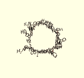 CCCC[C@H]1C(=O)N(C)[C@@H](CCCC)C(=O)N[C@@H](CCC(=O)O)C(=O)N[C@H](C(=O)NCC(N)=O)CSCC(=O)NC(Cc2ccc(O)cc2)C(=O)N(C)[C@@H](C)C(=O)N[C@@H](CC(N)=O)C(=O)N2CCC[C@H]2C(=O)N[C@@H](CN)C(=O)N[C@@H](CC(C)C)C(=O)N2C[C@H](O)C[C@H]2C(=O)N[C@@H](Cc2c[nH]c3ccccc23)C(=O)N[C@@H](CO)C(=O)N[C@@H](Cc2c[nH]c3ccccc23)C(=O)N1C